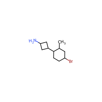 CC1CC(Br)CCC1C1CC(N)C1